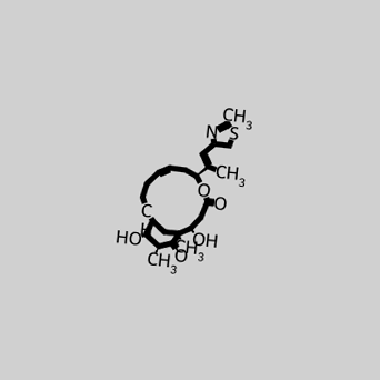 CC1=NC(/C=C(\C)[C@@H]2C/C=C\CCC[C@@H]3C[C@@](C)(C(=O)[C@H](C)[C@H]3O)[C@@H](O)CC(=O)O2)CS1